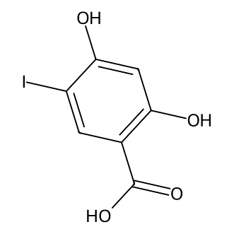 O=C(O)c1cc(I)c(O)cc1O